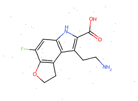 NCCc1c(C(=O)O)[nH]c2cc(F)c3c(c12)CCO3